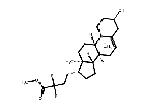 COC(=O)C(F)(F)CC[C@H]1CC[C@H]2[C@@H]3CC=C4C[C@@H](O)CC[C@]4(C)[C@H]3CC[C@]12C